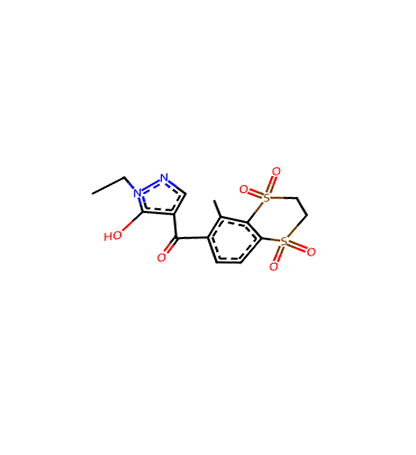 CCn1ncc(C(=O)c2ccc3c(c2C)S(=O)(=O)CCS3(=O)=O)c1O